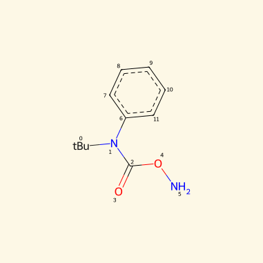 CC(C)(C)N(C(=O)ON)c1ccccc1